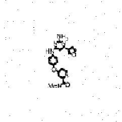 CNC(=O)c1cc(Oc2ccc(Nc3cc(-c4ccoc4)nc(N)n3)cc2)ccn1